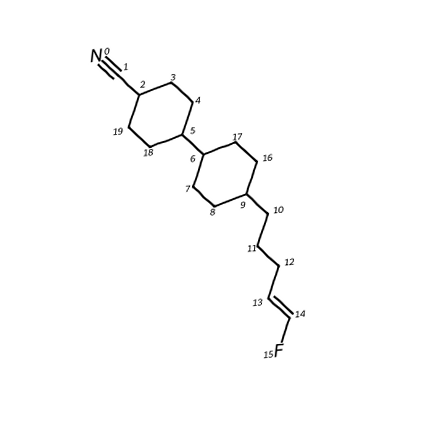 N#CC1CCC(C2CCC(CCCC=CF)CC2)CC1